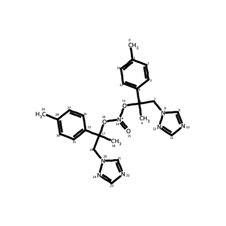 Cc1ccc(C(C)(Cn2cncn2)O[N+](=O)OC(C)(Cn2cncn2)c2ccc(C)cc2)cc1